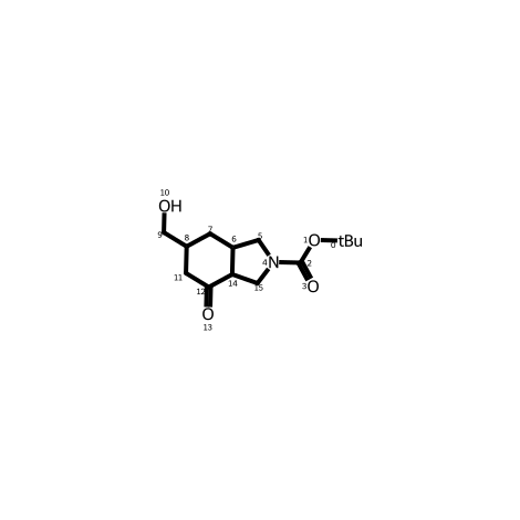 CC(C)(C)OC(=O)N1CC2CC(CO)CC(=O)C2C1